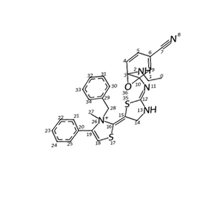 CCNC12C=CC(C#N)=CC1(N=C1NCC(=C3SC=C(c4ccccc4)[N+]3(C)Cc3ccccc3)S1)O2